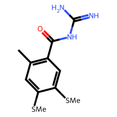 CSc1cc(C)c(C(=O)NC(=N)N)cc1SC